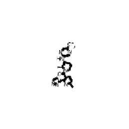 Cc1ccc(C(=O)N2CCC[C@@H](Nc3cnc(C(F)(F)F)cn3)[C@@H]2C)c(-n2ccnn2)n1